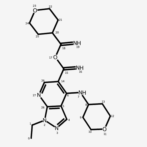 CCn1ncc2c(NC3CCOCC3)c(C(=N)OC(=N)C3CCOCC3)cnc21